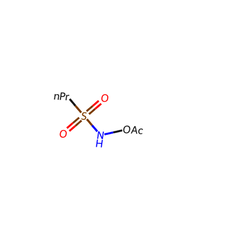 CCCS(=O)(=O)NOC(C)=O